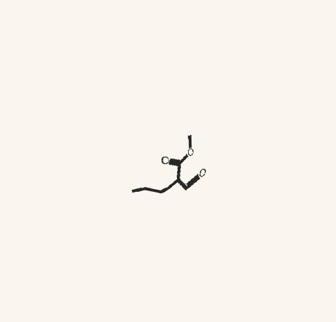 CCCC(C=O)C(=O)OC